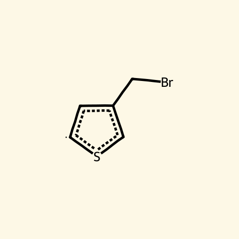 BrCc1c[c]sc1